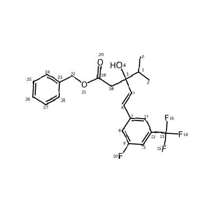 CC(C)C(O)(/C=C/c1cc(F)cc(C(F)(F)F)c1)CC(=O)OCc1ccccc1